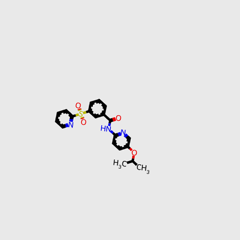 CC(C)Oc1ccc(NC(=O)c2cccc(S(=O)(=O)c3ccccn3)c2)nc1